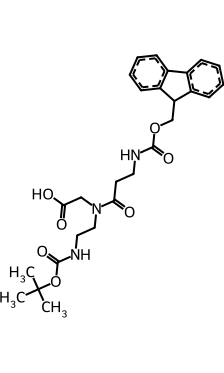 CC(C)(C)OC(=O)NCCN(CC(=O)O)C(=O)CCNC(=O)OCC1c2ccccc2-c2ccccc21